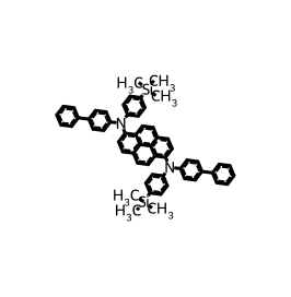 C[Si](C)(C)c1ccc(N(c2ccc(-c3ccccc3)cc2)c2ccc3ccc4c(N(c5ccc(-c6ccccc6)cc5)c5ccc([Si](C)(C)C)cc5)ccc5ccc2c3c54)cc1